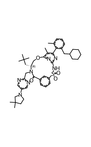 Cc1cccc(CC2CCCCC2)c1-c1nc2nc(c1C)OC[C@@H](CC(C)(C)C)N(Cc1ncc(N3CCC(C)(C)C3)cn1)C(=O)c1cccc(c1)S(=O)(=O)N2